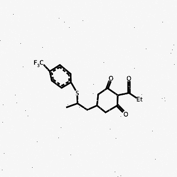 CCC(=O)C1C(=O)CC(CC(C)Sc2ccc(C(F)(F)F)cc2)CC1=O